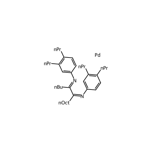 CCCCCCCCC(=Nc1ccc(CCC)c(CCC)c1)C(CCCC)=Nc1ccc(CCC)c(CCC)c1.[Pd]